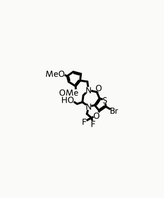 COc1ccc(CN2CC(CO)N3CC(F)(F)Oc4c(Br)sc(c43)C2=O)c(OC)c1